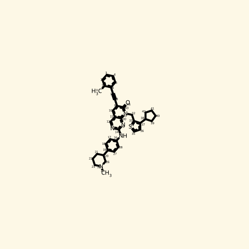 Cc1ccccc1C#Cc1cc2cnc(Nc3ccc(C4CCCN(C)C4)cc3)nc2n(Cc2sccc2C2CCCC2)c1=O